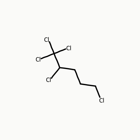 ClCCCC(Cl)C(Cl)(Cl)Cl